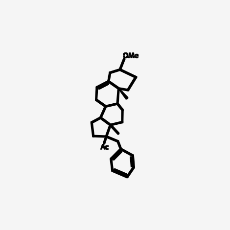 COC1CC[C@@]2(C)C(=CCC3C4CCC(Cc5ccccc5)(C(C)=O)C4(C)CCC32)C1